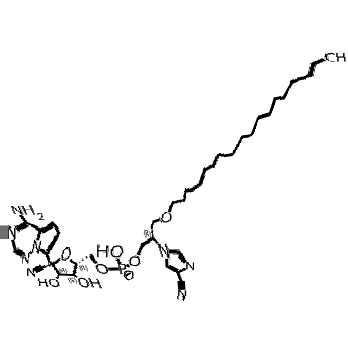 CCCCCCCCCCCCCCCCCCOC[C@H](COP(=O)(O)OC[C@H]1O[C@@](C#N)(c2ccc3c(N)ncnn23)[C@H](O)[C@@H]1O)n1cnc(C#N)c1